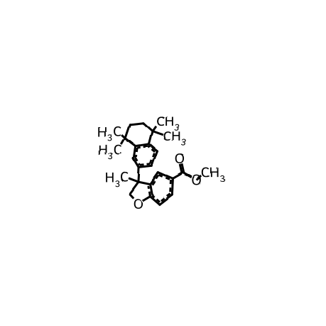 COC(=O)c1ccc2c(c1)C(C)(c1ccc3c(c1)C(C)(C)CCC3(C)C)CO2